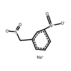 O=[N+]([O-])c1cccc(CS(=O)[O-])c1.[Na+]